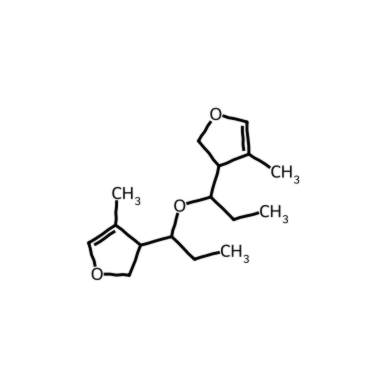 CCC(OC(CC)C1COC=C1C)C1COC=C1C